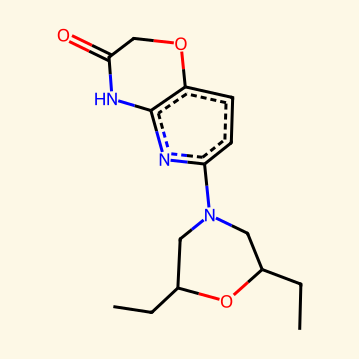 CCC1CN(c2ccc3c(n2)NC(=O)CO3)CC(CC)O1